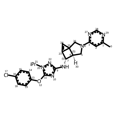 Cc1cc(N2C[C@H]3[C@H](Nc4nc(Oc5ccc(Cl)cc5)n(C(C)C)n4)C4=CC43C2)ncn1